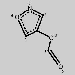 O=COc1cnoc1